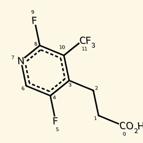 O=C(O)CCc1c(F)cnc(F)c1C(F)(F)F